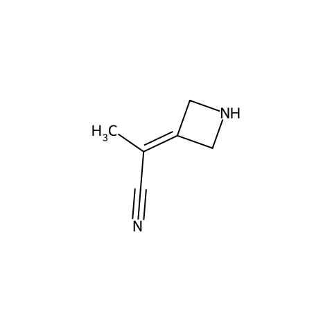 CC(C#N)=C1CNC1